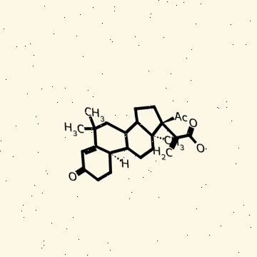 C=C(C([O])=O)[C@@]1(C(C)=O)CCC2C3CC(C)(C)C4=CC(=O)CC[C@@H]4C3CC[C@@]21C